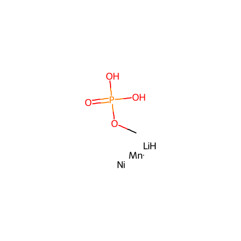 COP(=O)(O)O.[LiH].[Mn].[Ni]